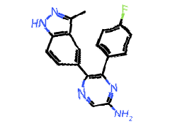 Cc1n[nH]c2ccc(-c3ncc(N)nc3-c3ccc(F)cc3)cc12